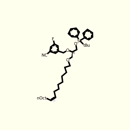 CCCCCCCC/C=C\CCCCCCCCOC[C@H](CO[Si](c1ccccc1)(c1ccccc1)C(C)(C)C)OCc1cc(F)cc(C#N)c1